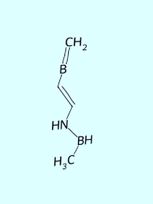 C=BC=CNBC